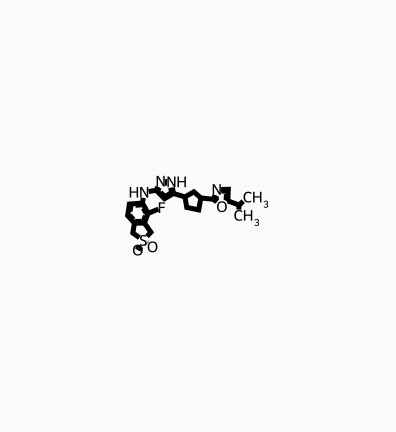 CC(C)c1cnc(C2CCC(c3cc(Nc4ccc5c(c4F)CS(=O)(=O)C5)n[nH]3)C2)o1